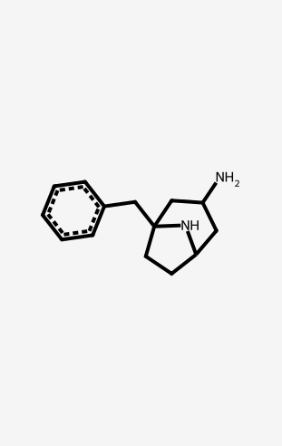 NC1CC2CCC(Cc3ccccc3)(C1)N2